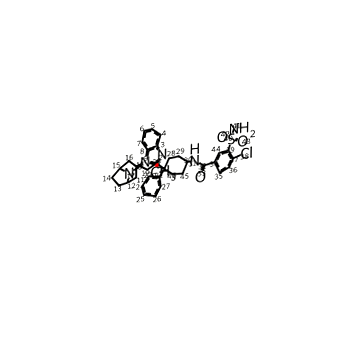 Cc1nc2ccccc2n1C1CC2CCC(C1)N2CCCC1(c2ccccc2)CCC(NC(=O)c2ccc(Cl)c(S(N)(=O)=O)c2)CC1